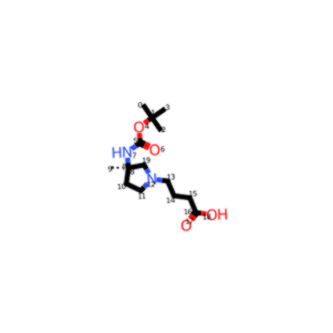 CC(C)(C)OC(=O)N[C@]1(C)CCN(CCCC(=O)O)C1